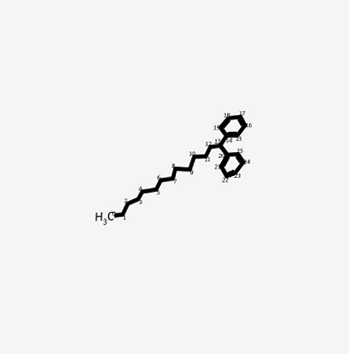 CCCCCCCCCCCCCC(c1ccccc1)c1ccccc1